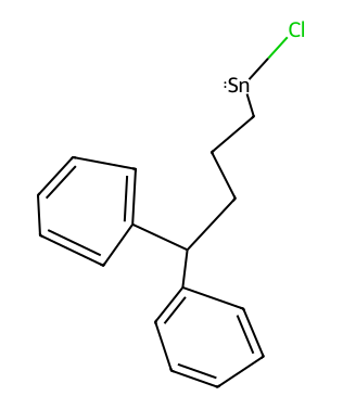 [Cl][Sn][CH2]CCC(c1ccccc1)c1ccccc1